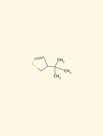 CC(C)(C)C1C=CSC1